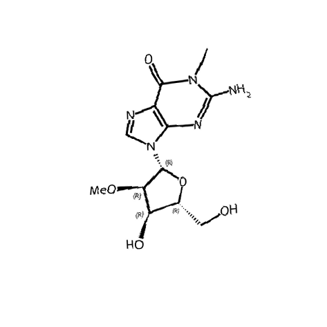 CO[C@@H]1[C@H](O)[C@@H](CO)O[C@H]1n1cnc2c(=O)n(C)c(N)nc21